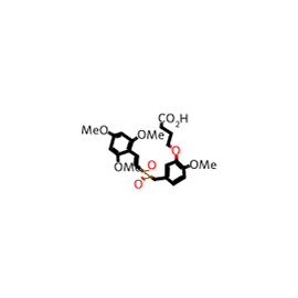 COc1cc(OC)c(C=CS(=O)(=O)Cc2ccc(OC)c(OCCCC(=O)O)c2)c(OC)c1